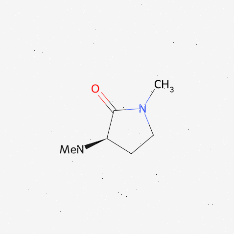 CN[C@@H]1CCN(C)C1=O